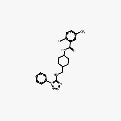 O=C(NC1CCC(CNc2nnnn2-c2ccccc2)CC1)c1cc(C(F)(F)F)ccc1Cl